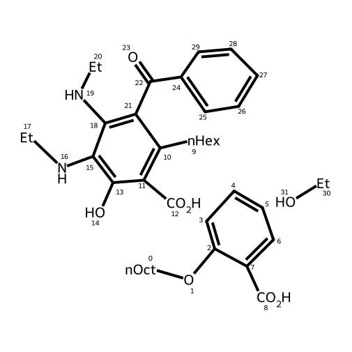 CCCCCCCCOc1ccccc1C(=O)O.CCCCCCc1c(C(=O)O)c(O)c(NCC)c(NCC)c1C(=O)c1ccccc1.CCO